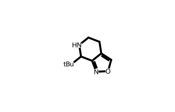 CC(C)(C)C1NCCc2conc21